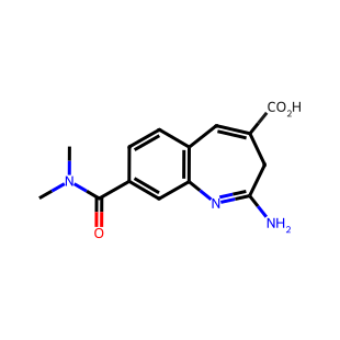 CN(C)C(=O)c1ccc2c(c1)N=C(N)CC(C(=O)O)=C2